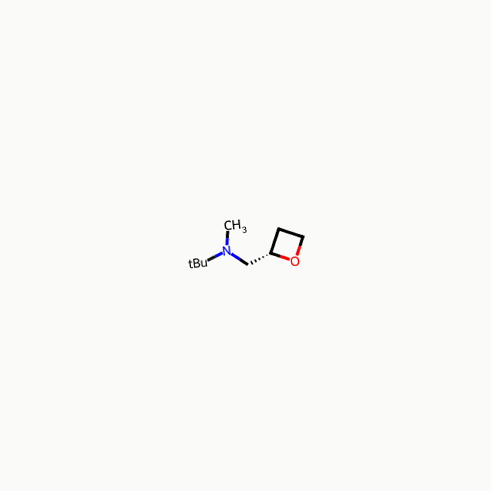 CN(C[C@@H]1CCO1)C(C)(C)C